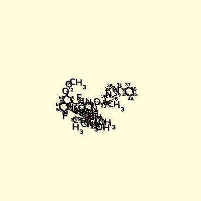 COCOc1cc(-c2ncc3c(N4CCC[C@@](C)(O)C4)nc(OC[C@H](C)CN4CCN(Cc5ccccc5)CC4)nc3c2F)c2c(C#C[Si](C(C)C)(C(C)C)C(C)C)c(F)ccc2c1